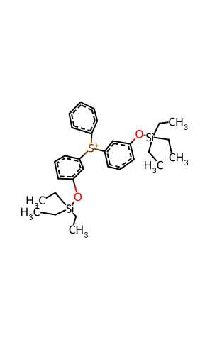 CC[Si](CC)(CC)Oc1cccc([S+](c2ccccc2)c2cccc(O[Si](CC)(CC)CC)c2)c1